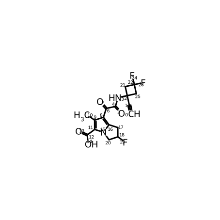 C#CC1(NC(=O)C(=O)c2c(C)c(C(=O)O)n3c2CC(F)C3)CC(F)(F)C1